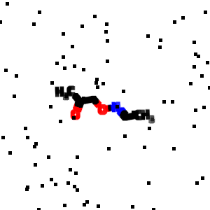 C/C=N/OCC(C)=O